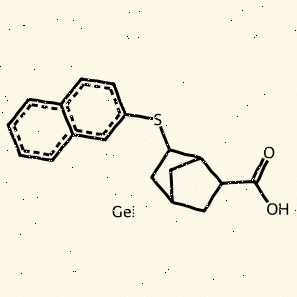 O=C(O)C1CC2CC(Sc3ccc4ccccc4c3)C1C2.[Ge]